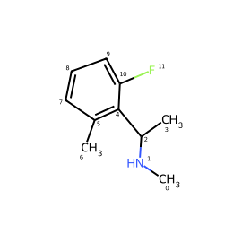 CNC(C)c1c(C)cccc1F